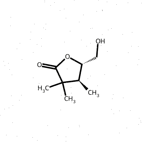 C[C@@H]1[C@@H](CO)OC(=O)C1(C)C